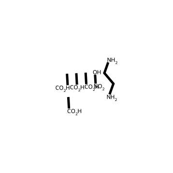 CC(=O)O.CC(=O)O.CC(=O)O.CC(=O)O.NCCN.O=[N+]([O-])O